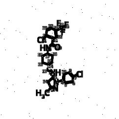 CC1=NN(c2ccc(Cl)cc2)C(NC[C@H]2CC[C@H](NC(=O)c3cc(C(F)(F)F)ccc3Cl)CC2)C1